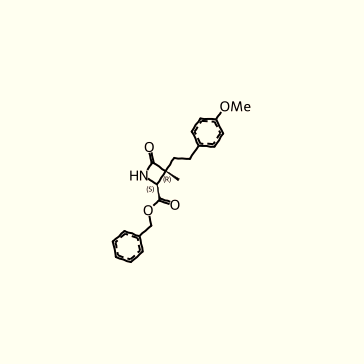 COc1ccc(CC[C@@]2(C)C(=O)N[C@@H]2C(=O)OCc2ccccc2)cc1